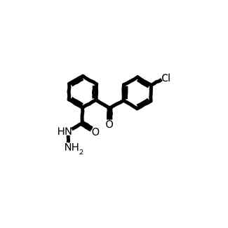 NNC(=O)c1ccccc1C(=O)c1ccc(Cl)cc1